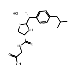 CC(C)Cc1ccc([C@@H](C)C2N[C@H](C(=O)NCC(=O)O)CS2)cc1.Cl